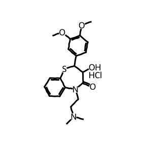 COc1ccc(C2Sc3ccccc3N(CCN(C)C)C(=O)C2O)cc1OC.Cl